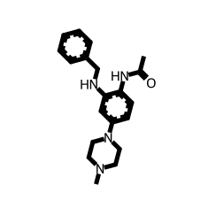 CC(=O)Nc1ccc(N2CCN(C)CC2)cc1NCc1ccccc1